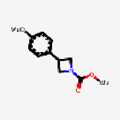 COc1ccc(C2CN(C(=O)OC(C)(C)C)C2)cc1